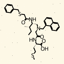 CC[C@H](C)[C@@H](CN(CC(=O)N[C@@H](CCSC)C(=O)O)Cc1cccc2ccccc12)NC(=O)CSCc1ccccc1